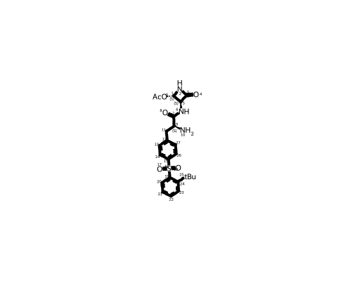 CC(=O)O[C@@H]1NC(=O)[C@H]1NC(=O)[C@@H](N)Cc1ccc(S(=O)(=O)c2ccccc2C(C)(C)C)cc1